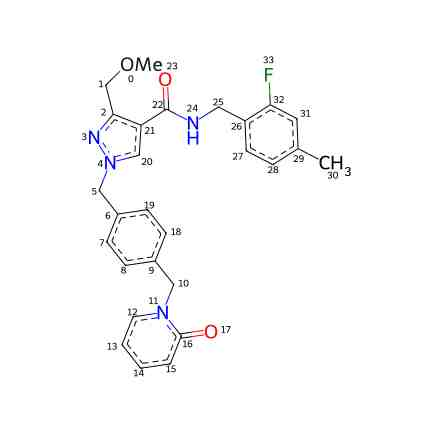 COCc1nn(Cc2ccc(Cn3ccccc3=O)cc2)cc1C(=O)NCc1ccc(C)cc1F